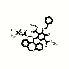 COC(=O)C1=CC([C@H](CNC(=O)OC(C)(C)C)C2c3ccccc3CSc3ccccc32)C(C(=O)OC)=C(OCc2ccccc2)C1=O